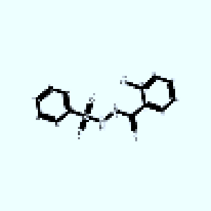 O=C(NNS(=O)(=O)c1ccccc1)c1ccccc1Cl